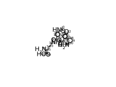 CC(=O)Nc1ccc(C=O)cc1.COc1ccc(CC(=O)O)cc1.NC1CCCCC1.NCCCCC(N)C(=O)O